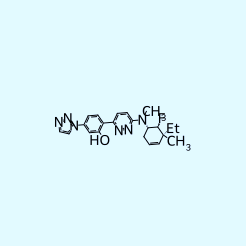 CC[C@]1(C)C=CC[C@H](N(C)c2ccc(-c3ccc(-n4ccnn4)cc3O)nn2)[C@H]1F